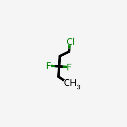 CCC(F)(F)CCCl